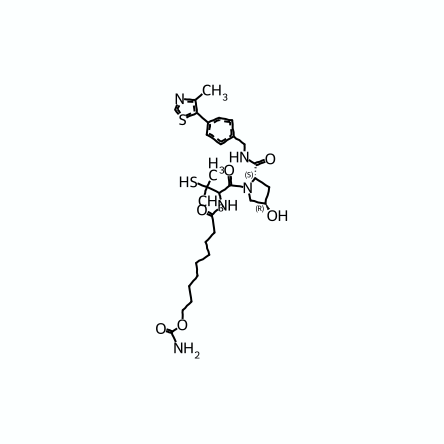 Cc1ncsc1-c1ccc(CNC(=O)[C@@H]2C[C@@H](O)CN2C(=O)C(NC(=O)CCCCCCCCOC(N)=O)C(C)(C)S)cc1